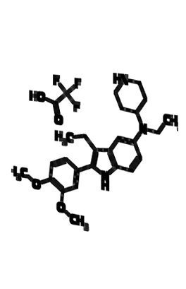 CCc1c(-c2ccc(OC)c(OC)c2)[nH]c2ccc(N(CC)C3CCNCC3)cc12.O=C(O)C(F)(F)F